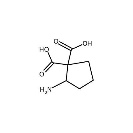 NC1CCCC1(C(=O)O)C(=O)O